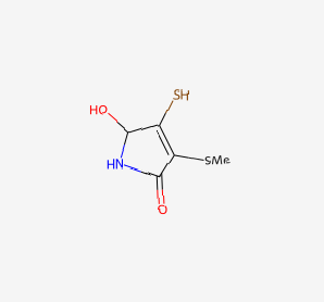 CSC1=C(S)C(O)NC1=O